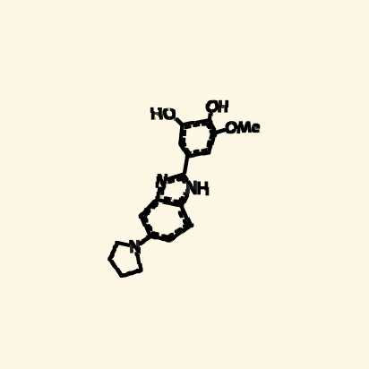 COc1cc(-c2nc3cc(N4CCCC4)ccc3[nH]2)cc(O)c1O